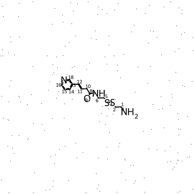 NCCSSCCNC(=O)CC=Cc1cccnc1